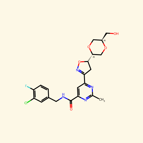 Cc1nc(C(=O)NCc2ccc(F)c(Cl)c2)cc(C2=NOC([C@H]3CO[C@H](CO)CO3)C2)n1